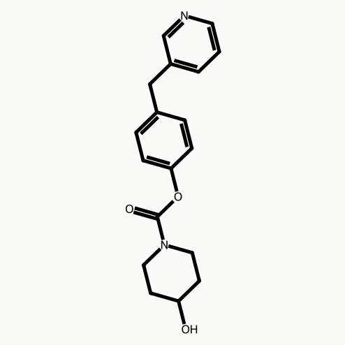 O=C(Oc1ccc(Cc2cccnc2)cc1)N1CCC(O)CC1